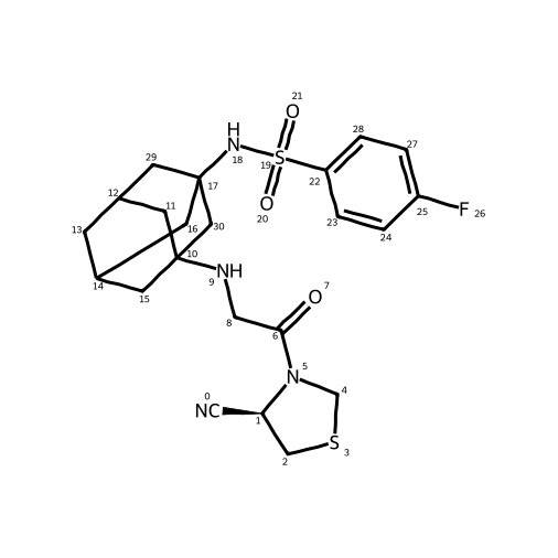 N#C[C@@H]1CSCN1C(=O)CNC12CC3CC(C1)CC(NS(=O)(=O)c1ccc(F)cc1)(C3)C2